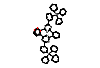 c1ccc(-c2nc(-c3cccc([Si](c4ccccc4)(c4ccccc4)c4ccccc4)c3)nc(-c3ccccc3-c3nc(-c4ccccc4)nc(-c4cccc([Si](c5ccccc5)(c5ccccc5)c5ccccc5)c4)n3)n2)cc1